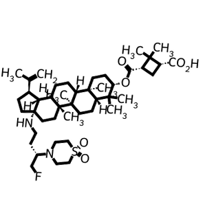 C=C(C)[C@@H]1CC[C@]2(NCC[C@@H](CF)N3CCS(=O)(=O)CC3)CC[C@]3(C)[C@H](CC[C@@H]4[C@@]5(C)CC[C@H](OC(=O)[C@H]6C[C@@H](C(=O)O)C6(C)C)C(C)(C)[C@@H]5CC[C@]43C)[C@@H]12